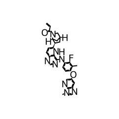 C=CC(=O)N1C[C@H]2C[C@@H]1[C@H](c1ccc3ncnc(Nc4ccc(Oc5cnc6c(c5)ncn6C)c(C)c4F)c3n1)C2